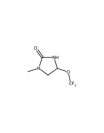 CN1[CH]C(OC(F)(F)F)NC1=O